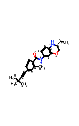 CC[C@@H]1COc2cc(NC(=O)c3ccc(C#CC(C)(C)C)cc3C)ccc2N1